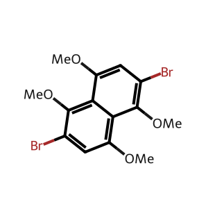 COc1cc(Br)c(OC)c2c(OC)cc(Br)c(OC)c12